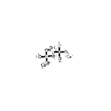 O.O[Si](O)(O)O.[Ca+2].[Ca+2].[O-][Si]([O-])([O-])[O-]